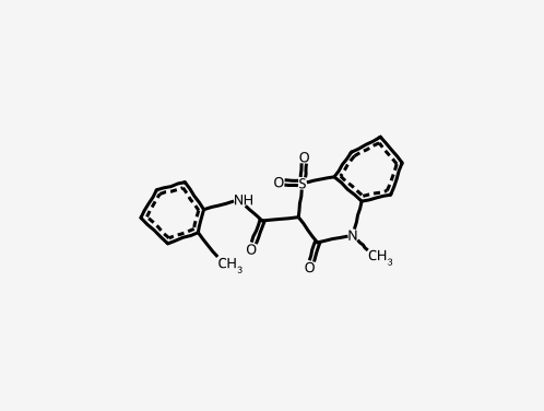 Cc1ccccc1NC(=O)C1C(=O)N(C)c2ccccc2S1(=O)=O